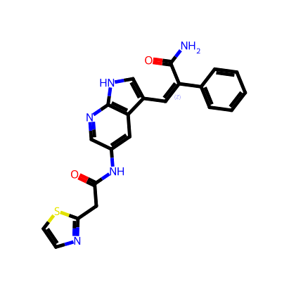 NC(=O)/C(=C\c1c[nH]c2ncc(NC(=O)Cc3nccs3)cc12)c1ccccc1